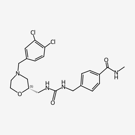 CNC(=O)c1ccc(CNC(=O)NC[C@H]2CN(Cc3ccc(Cl)c(Cl)c3)CCO2)cc1